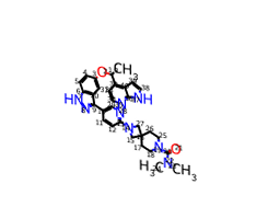 CC(Oc1ccc2[nH]nc(-c3ccc(N4CC5(CCN(C(=O)N(C)C)CC5)C4)nc3)c2c1)c1ccnc2[nH]ccc12